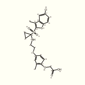 Cc1cc(SCCNC2(S(=O)(=O)c3sc4ccc(Cl)cc4c3C)CC2)ccc1OCC(=O)O